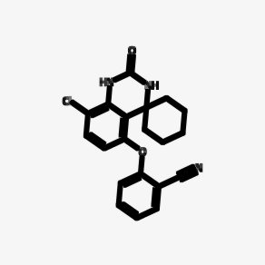 N#Cc1ccccc1Oc1ccc(Cl)c2c1C1(CCCCC1)NC(=O)N2